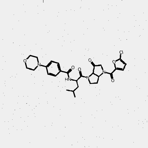 CC(C)CC(NC(=O)c1ccc(N2CCOCC2)cc1)C(=O)N1CCC2C1C(=O)CN2C(=O)c1ccc(Cl)o1